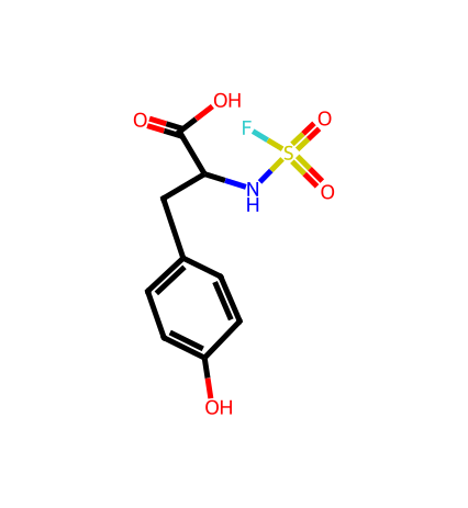 O=C(O)C(Cc1ccc(O)cc1)NS(=O)(=O)F